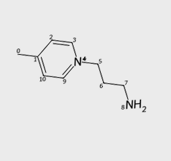 Cc1cc[n+](CCCN)cc1